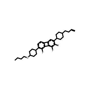 C=CCCC1CCC(c2cc3c(c(F)c2F)-c2c-3ccc(C3CCC(OCCCC)CC3)c2F)CC1